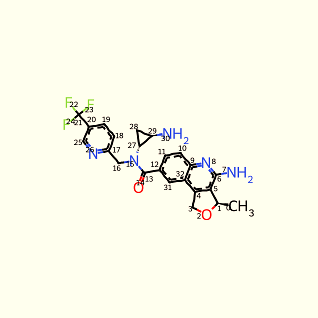 C[C@H]1OCc2c1c(N)nc1ccc(C(=O)N(Cc3ccc(C(F)(F)F)cn3)[C@@H]3C[C@H]3N)cc21